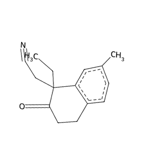 CCC1(CC#N)C(=O)CCc2ccc(C)cc21